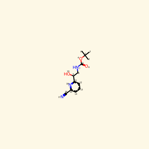 CC(C)(C)OC(=O)NCC(O)c1cccc(C#N)n1